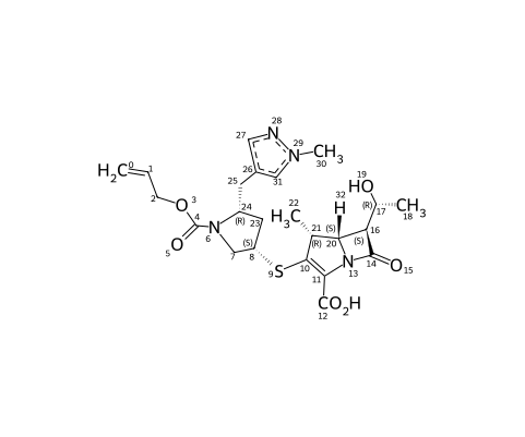 C=CCOC(=O)N1C[C@@H](SC2=C(C(=O)O)N3C(=O)[C@H]([C@@H](C)O)[C@H]3[C@H]2C)C[C@H]1Cc1cnn(C)c1